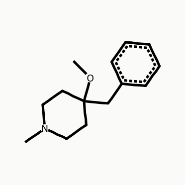 COC1(Cc2ccccc2)CCN(C)CC1